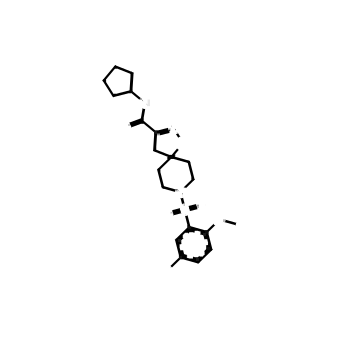 COc1ccc(Br)cc1S(=O)(=O)N1CCC2(CC1)CC(C(=O)NC1CCCC1)=NO2